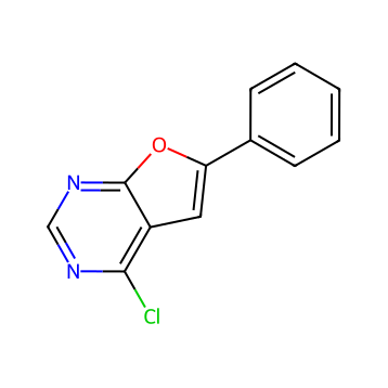 Clc1ncnc2oc(-c3ccccc3)cc12